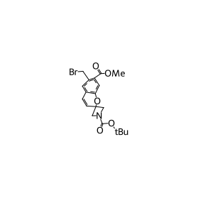 COC(=O)c1cc2c(cc1CBr)C=CC1(CN(C(=O)OC(C)(C)C)C1)O2